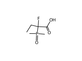 CCC(F)(C(=O)O)P(C)(C)=O